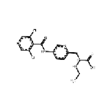 CCN[C@@H](Cc1ccc(NC(=O)c2c(Cl)cncc2Cl)cn1)C(=O)O